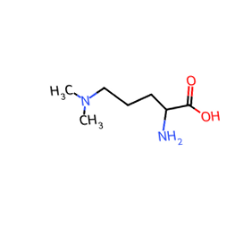 CN(C)CCCC(N)C(=O)O